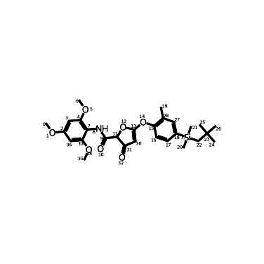 COc1cc(OC)c(NC(=O)C2OC(Oc3ccc([Si](C)(C)CC(C)(C)C)cc3C)=CC2=O)c(OC)c1